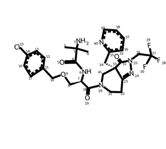 CC(C)(N)C(=O)N[C@H](COCc1ccc(Cl)cc1)C(=O)N1CCC2=NN(CC(F)(F)F)C(=O)[C@]2(Cc2ccccn2)C1